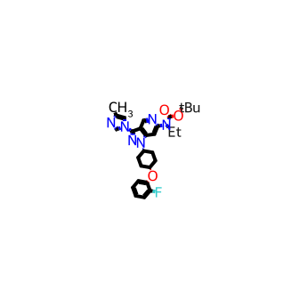 CCN(C(=O)OC(C)(C)C)c1cc2c(cn1)c(-n1cnc(C)c1)nn2[C@H]1CC[C@@H](Oc2ccccc2F)CC1